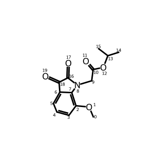 COc1cccc2c1N(CC(=O)OC(C)C)C(=O)C2=O